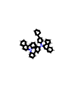 C1=CCC(C2=CCC(N(c3ccc(-c4ccccc4-n4c5ccccc5c5c6ccccc6ccc54)cc3)c3cc4c(c5ccccc35)CCC=C4)C=C2)C=C1